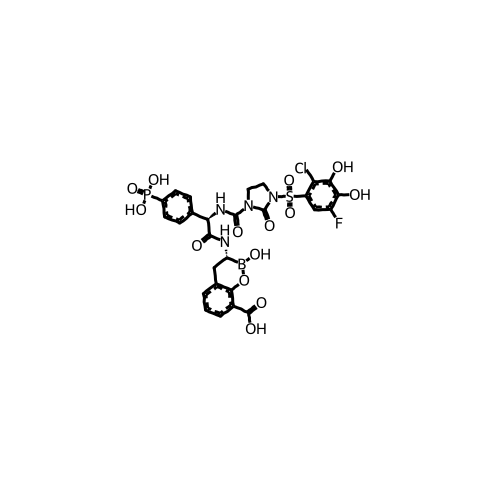 O=C(O)c1cccc2c1OB(O)[C@@H](NC(=O)[C@H](NC(=O)N1CCN(S(=O)(=O)c3cc(F)c(O)c(O)c3Cl)C1=O)c1ccc(P(=O)(O)O)cc1)C2